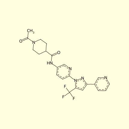 CC(=O)N1CCC(C(=O)Nc2ccc(-n3nc(-c4cccnc4)cc3C(F)(F)F)nc2)CC1